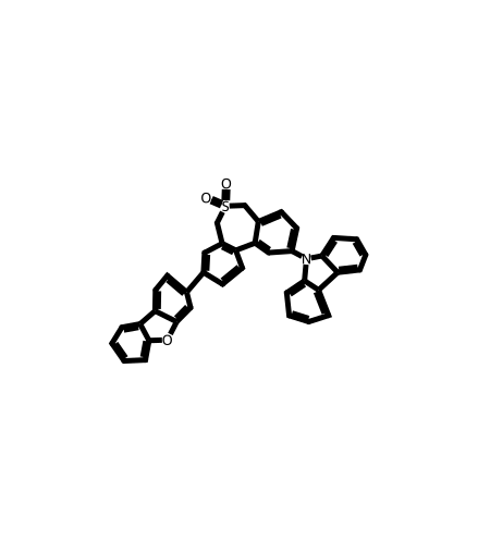 O=S1(=O)Cc2cc(-c3ccc4c(c3)oc3ccccc34)ccc2-c2cc(-n3c4ccccc4c4ccccc43)ccc2C1